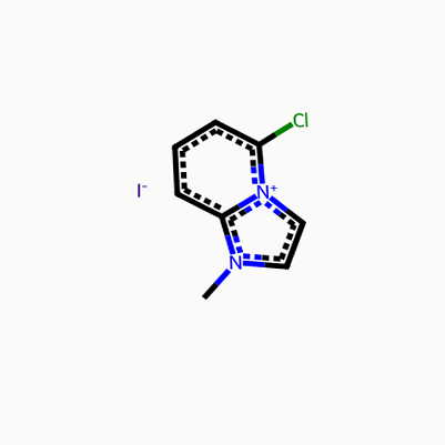 Cn1cc[n+]2c(Cl)cccc12.[I-]